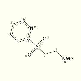 CNCCS(=O)(=O)c1ccccn1